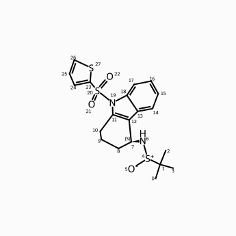 CC(C)(C)[S+]([O-])N[C@H]1CCCc2c1c1ccccc1n2S(=O)(=O)c1cccs1